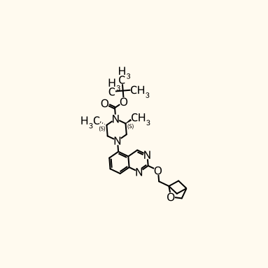 C[C@H]1CN(c2cccc3nc(OCC45CC(CO4)C5)ncc23)C[C@H](C)N1C(=O)OC(C)(C)C